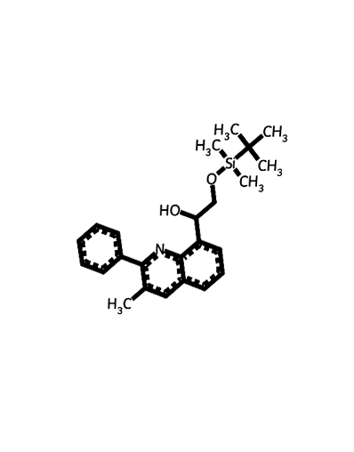 Cc1cc2cccc(C(O)CO[Si](C)(C)C(C)(C)C)c2nc1-c1ccccc1